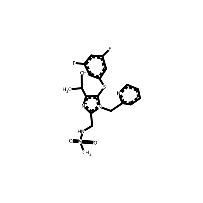 CC(C)c1nc(CNS(C)(=O)=O)n(Cc2ccccn2)c1Sc1cc(F)cc(F)c1